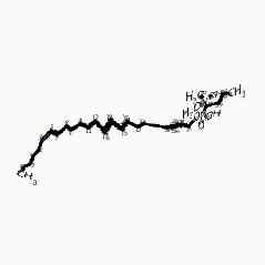 CCCCC/C=C\CCCCCCCCCCCCCCCOP(=O)(O)C(CCC)[N+](C)(C)C